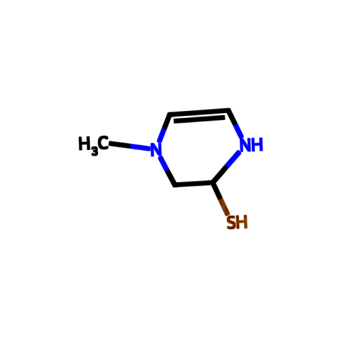 CN1C=CNC(S)C1